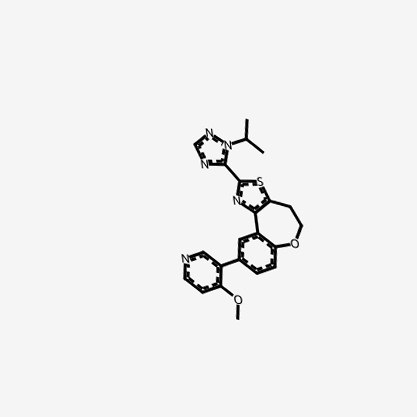 COc1ccncc1-c1ccc2c(c1)-c1nc(-c3ncnn3C(C)C)sc1CCO2